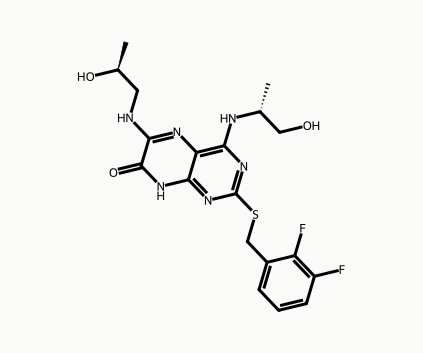 C[C@H](O)CNc1nc2c(N[C@H](C)CO)nc(SCc3cccc(F)c3F)nc2[nH]c1=O